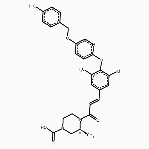 Cc1ccc(COc2ccc(Oc3c(C)cc(C=CC(=O)N4CCN(C(=O)O)C[C@@H]4C)cc3Cl)nc2)cc1